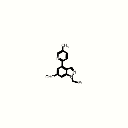 Cc1ccc(-c2cc(C=O)cc3c2cnn3CC(C)C)nc1